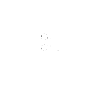 O=CCCCOc1ccc([C@@H]2C3CC=C(O)CC3CC[C@@H]2c2ccccc2)cc1